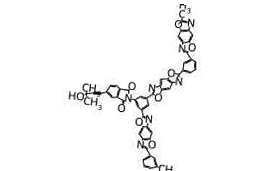 Cc1cccc(-c2nc3cc4oc(-c5cc(-c6nc7cc8oc(-c9cccc(-c%10nc%11cc%12oc(C)nc%12cc%11o%10)c9)nc8cc7o6)cc(N6C(=O)c7ccc(C#CC(C)(C)O)cc7C6=O)c5)nc4cc3o2)c1